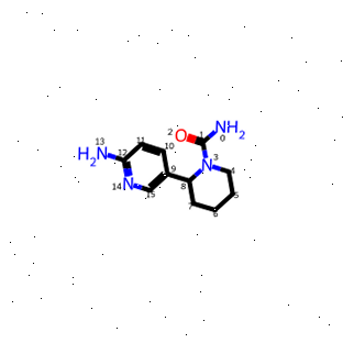 NC(=O)N1CCCCC1c1ccc(N)nc1